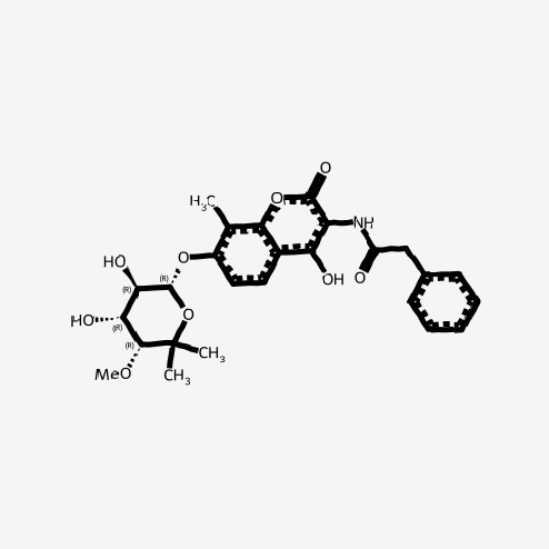 CO[C@@H]1[C@H](O)[C@@H](O)[C@H](Oc2ccc3c(O)c(NC(=O)Cc4ccccc4)c(=O)oc3c2C)OC1(C)C